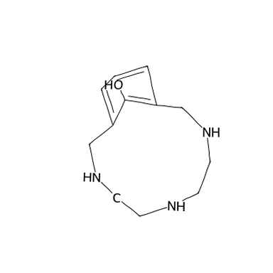 Oc1c2cccc1CNCCNCCNC2